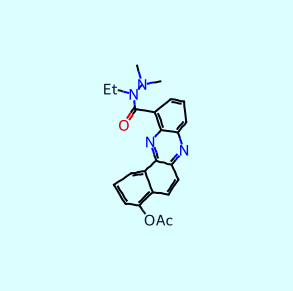 CCN(C(=O)c1cccc2nc3ccc4c(OC(C)=O)cccc4c3nc12)N(C)C